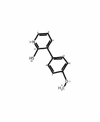 COc1ccc(-c2cccnc2S)cc1